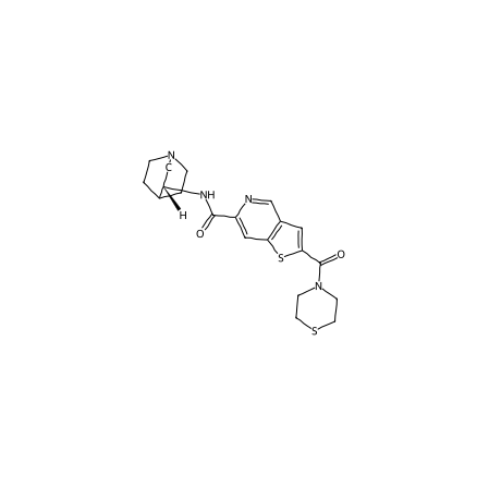 O=C(N[C@H]1CN2CCC1CC2)c1cc2sc(C(=O)N3CCSCC3)cc2cn1